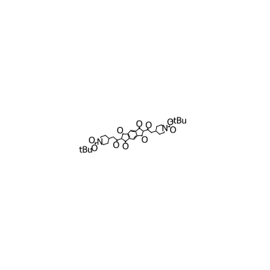 CC(C)(C)OC(=O)N1CCC(CC(=O)C2C(=O)c3cc4c(cc3C2=O)C(=O)C(C(=O)CC2CCN(C(=O)OC(C)(C)C)CC2)C4=O)CC1